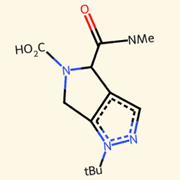 CNC(=O)C1c2cnn(C(C)(C)C)c2CN1C(=O)O